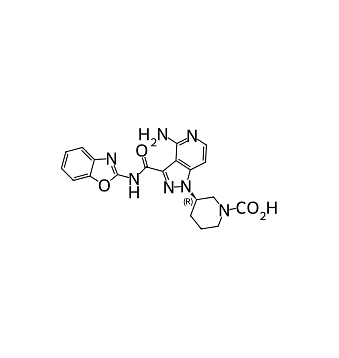 Nc1nccc2c1c(C(=O)Nc1nc3ccccc3o1)nn2[C@@H]1CCCN(C(=O)O)C1